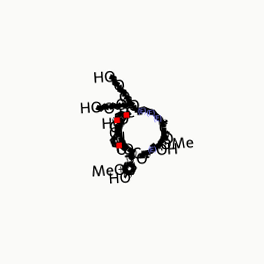 CO[C@@H]1C[C@H](C[C@@H](C)[C@@H]2CC(=O)[C@H](C)/C=C(\C)[C@@H](O)[C@@H](OC)C(=O)[C@H](C)C[C@H](C)/C=C/C=C/C=C(\C)C(OC(COCCOCCO)COCCOCCO)C[C@@H]3CC[C@@H](C)[C@@](O)(O3)C(=O)C(=O)N3CCCC[C@H]3C(=O)O2)CC[C@H]1O